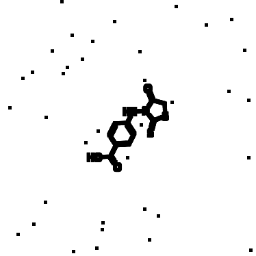 O=C(O)c1ccc(NN2C(=O)CSC2=S)cc1